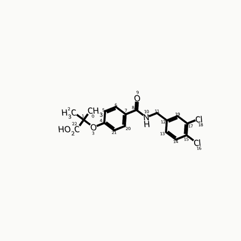 CC(C)(Oc1ccc(C(=O)NCc2ccc(Cl)c(Cl)c2)cc1)C(=O)O